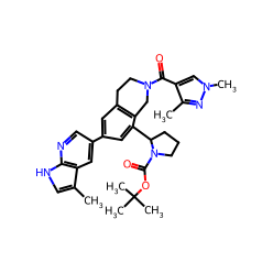 Cc1nn(C)cc1C(=O)N1CCc2cc(-c3cnc4[nH]cc(C)c4c3)cc(C3CCCN3C(=O)OC(C)(C)C)c2C1